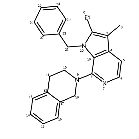 CCc1c(C)c2ccnc(N3CCc4ccccc4C3)c2n1Cc1ccccc1